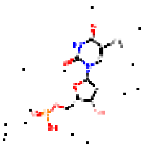 Cc1cn([C@@H]2C[C@H](O)[C@H](CO[PH](=O)O)O2)c(=O)[nH]c1=O